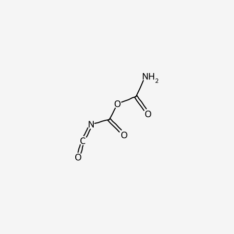 NC(=O)OC(=O)N=C=O